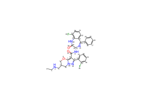 CCNCC1COc2c(C(=O)N[C@H]3N=C(c4ccccc4)c4cccc(F)c4NC3=O)c(-c3ccccc3F)nn2C1